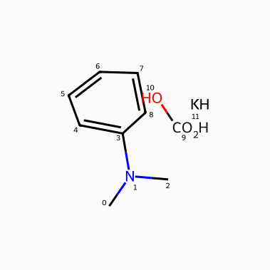 CN(C)c1ccccc1.O=C(O)O.[KH]